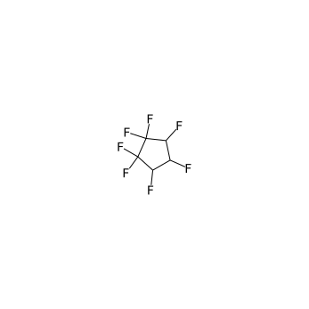 FC1C(F)C(F)(F)C(F)(F)C1F